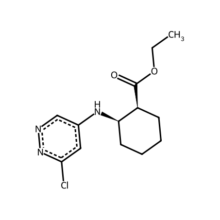 CCOC(=O)[C@H]1CCCC[C@H]1Nc1cnnc(Cl)c1